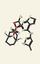 Cc1cc(Nc2nc(N(C)[C@@H]3C[C@H]4CCC[C@@H](C3)N4S(=O)(=O)N3CC(C#N)C3)nc3sccc23)n[nH]1